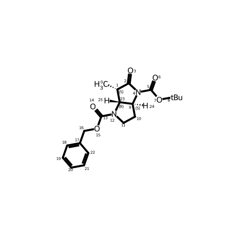 C[C@@H]1C(=O)N(C(=O)OC(C)(C)C)[C@H]2CCN(C(=O)OCc3ccccc3)[C@H]12